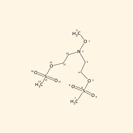 CON(CCOS(C)(=O)=O)CCOS(C)(=O)=O